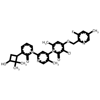 Cc1cnc(COc2cc(C)n(-c3cc(-n4cccc(C5CC(O)C5(C)C)c4=O)ncc3C)c(=O)c2Cl)c(F)c1